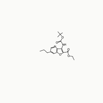 CCCc1cnc2c(NC(=O)OC(C)(C)C)c(C(=O)OCC)oc2c1